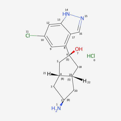 Cl.N[C@H]1C[C@@H]2C[C@](O)(c3cc(Cl)cc4[nH]ncc34)C[C@@H]2C1